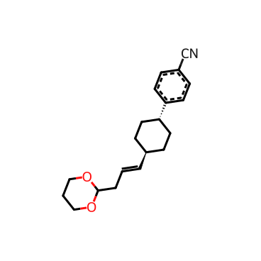 N#Cc1ccc([C@H]2CC[C@H](/C=C/CC3OCCCO3)CC2)cc1